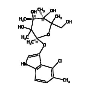 Cc1ccc2[nH]cc(O[C@]3(C)OC(C)(CO)[C@](C)(O)[C@@](C)(O)C3(C)O)c2c1Cl